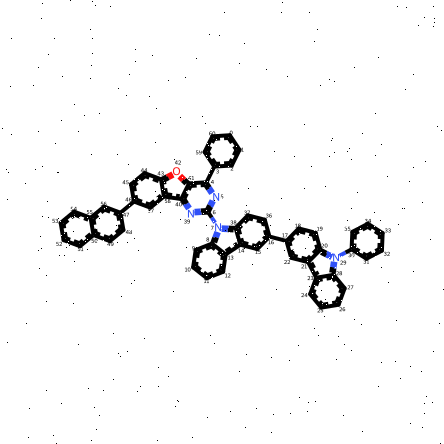 c1ccc(-c2nc(-n3c4ccccc4c4cc(-c5ccc6c(c5)c5ccccc5n6-c5ccccc5)ccc43)nc3c2oc2ccc(-c4ccc5ccccc5c4)cc23)cc1